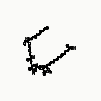 O=[C]COCCOCCNC(C=O)OCCOCCNC(=O)CC[C@H](NC(=O)CC[C@H](NC(=O)CCCCCCCCCCCCC(=O)O)C(=O)O)C(=O)O